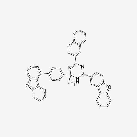 C[C@@]1(c2ccc(-c3cccc4oc5ccccc5c34)cc2)N=C(c2ccc3ccccc3c2)N=C(c2ccc3oc4ccccc4c3c2)N1